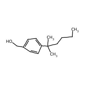 CCCCC(C)(C)c1ccc(CO)cc1